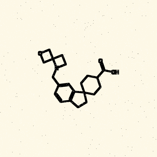 O=C(O)C1CCC2(CCc3ccc(CN4CCC45COC5)cc32)CC1